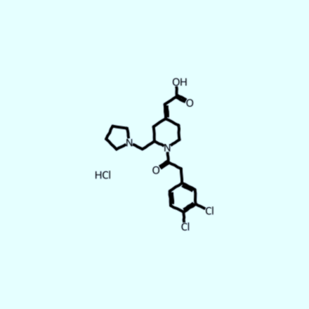 Cl.O=C(O)C=C1CCN(C(=O)Cc2ccc(Cl)c(Cl)c2)C(CN2CCCC2)C1